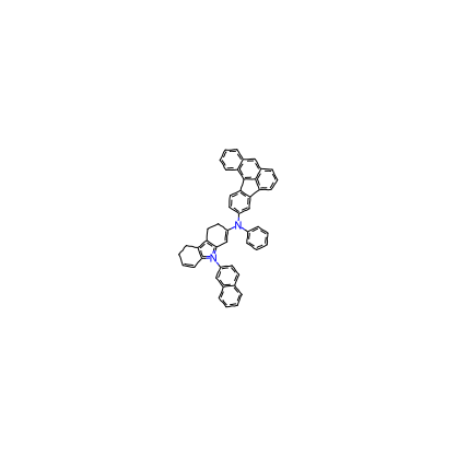 C1=Cc2c(c3c(n2-c2ccc4ccccc4c2)C=C(N(c2ccccc2)c2ccc4c(c2)-c2cccc5cc6ccccc6c-4c25)CC3)CC1